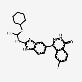 O=c1[nH]nc(-c2ccc3[nH]c(NC(O)OC4CCCCC4)nc3c2)c2cc(F)ccc12